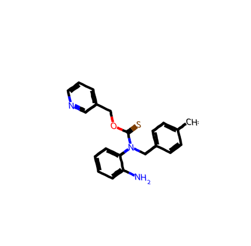 [CH]c1ccc(CN(C(=S)OCc2cccnc2)c2ccccc2N)cc1